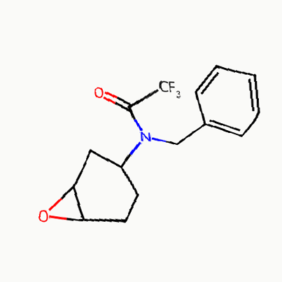 O=C(N(Cc1ccccc1)C1CCC2OC2C1)C(F)(F)F